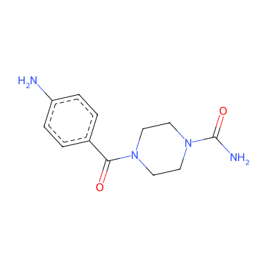 NC(=O)N1CCN(C(=O)c2ccc(N)cc2)CC1